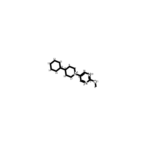 COc1ncc(N2CCC(C3CCCCC3)CC2)cn1